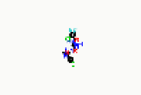 Cc1nc(-c2ccc(Cl)cc2)c(CNC(=O)c2cc(NC(=O)c3cc(F)c(F)cc3Cl)[nH]n2)o1